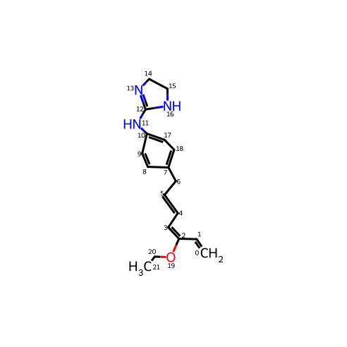 C=C/C(=C\C=C\Cc1ccc(NC2=NCCN2)cc1)OCC